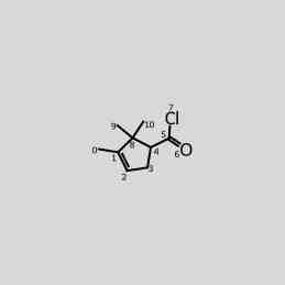 CC1=CCC(C(=O)Cl)C1(C)C